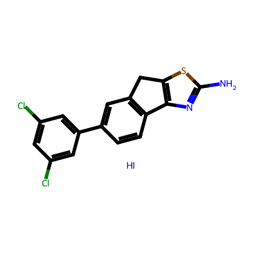 I.Nc1nc2c(s1)Cc1cc(-c3cc(Cl)cc(Cl)c3)ccc1-2